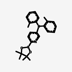 Cc1ccccc1N(c1ccc(B2OC(C)(C)C(C)(C)O2)nc1)c1ccccc1C